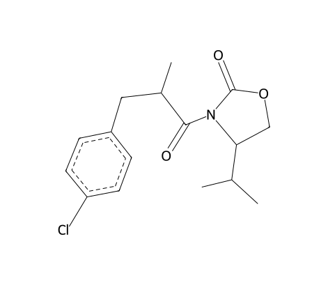 CC(Cc1ccc(Cl)cc1)C(=O)N1C(=O)OCC1C(C)C